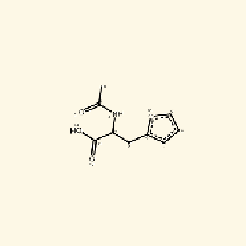 CC(=O)NC(Cc1ccco1)C(=O)O